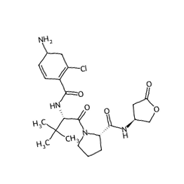 CC(C)(C)[C@H](NC(=O)C1=C(Cl)CC(N)C=C1)C(=O)N1CCC[C@H]1C(=O)N[C@@H]1COC(=O)C1